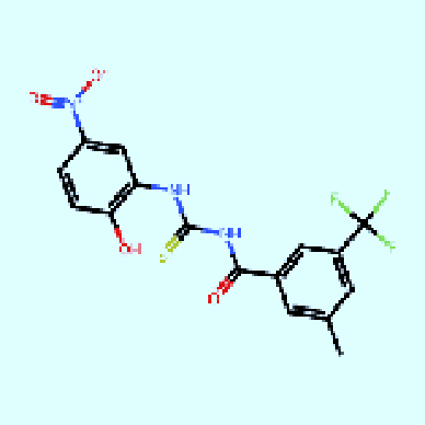 Cc1cc(C(=O)NC(=S)Nc2cc([N+](=O)[O-])ccc2O)cc(C(F)(F)F)c1